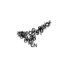 Cc1sc(C(=O)Nc2ccc(C#N)cc2C(=O)OC(=O)c2cc(C#N)ccc2NC(=O)c2cc(S(=O)(=O)N3CCCC3C)c(C)s2)cc1S(=O)(=O)N1CCN(c2ccc(F)cc2)CC1